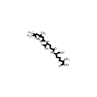 CC(C)(C)CC(C)(C)CC(=O)NC(CCC(=O)NC(CO)CCCC(N)C(=O)O)C(=O)O